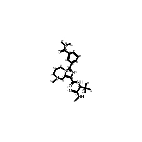 CNC(=O)C(NC(=O)c1nc(-c2cccc(C(=O)N(C)C)c2)n2c1CN(C)CCC2)C(C)(C)C